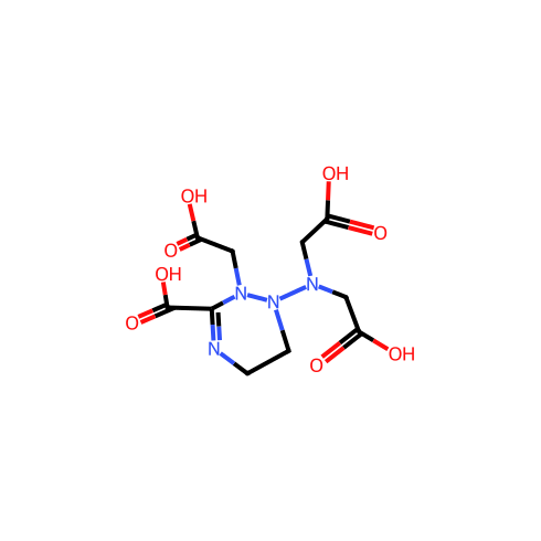 O=C(O)CN(CC(=O)O)N1CCN=C(C(=O)O)N1CC(=O)O